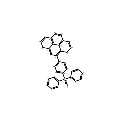 O=P(c1ccccc1)(c1ccccc1)c1ccc(-c2cc3c4c(ccc5c4c2CC=C5)C=CC3)cc1